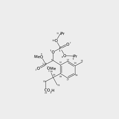 COP(=O)(OC)C(OP(=O)(OC(C)C)OC(C)C)c1cc(C)ccc1C(C)(C)CC(=O)O